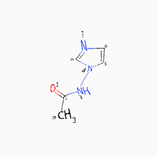 CC(=O)Nn1ccnc1